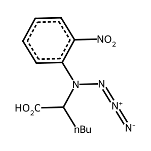 CCCCC(C(=O)O)N(N=[N+]=[N-])c1ccccc1[N+](=O)[O-]